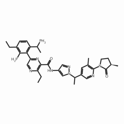 CCc1ccc(C(C)P)c(-c2cnc(CC)c(C(=O)Nc3cnn(C(C)c4cnc(N5CC[C@@H](C)C5=O)c(C)c4)c3)n2)c1P